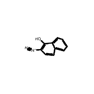 N#[N+]c1ccc2ccccc2c1O